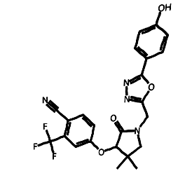 CC1(C)CN(Cc2nnc(-c3ccc(O)cc3)o2)C(=O)C1Oc1ccc(C#N)c(C(F)(F)F)c1